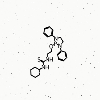 S=C(NCCOP1N(c2ccccc2)CCN1c1ccccc1)NC1CCCCC1